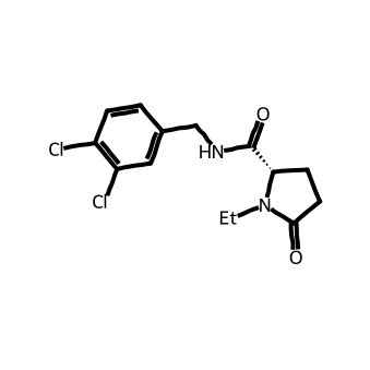 CCN1C(=O)CC[C@H]1C(=O)NCc1ccc(Cl)c(Cl)c1